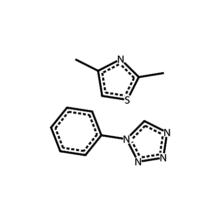 Cc1csc(C)n1.c1ccc(-n2cnnn2)cc1